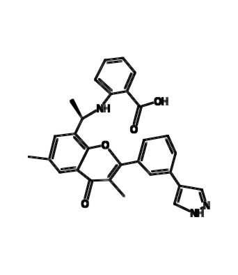 Cc1cc([C@@H](C)Nc2ccccc2C(=O)O)c2oc(-c3cccc(-c4cn[nH]c4)c3)c(C)c(=O)c2c1